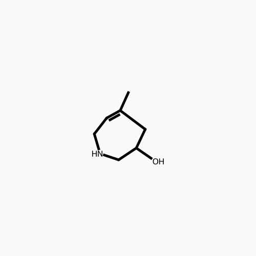 CC1=CCNCC(O)C1